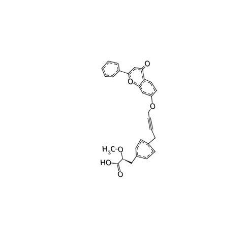 CO[C@@H](Cc1ccc(CC#CCOc2ccc3c(=O)cc(-c4ccccc4)oc3c2)cc1)C(=O)O